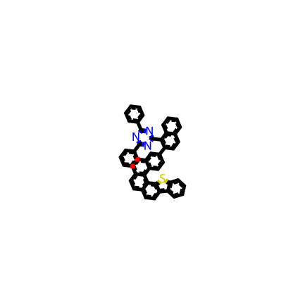 c1ccc(-c2nc(-c3ccccc3)nc(-c3c(-c4ccc5c(ccc6ccc7ccc8c9ccccc9sc8c7c65)c4)ccc4ccccc34)n2)cc1